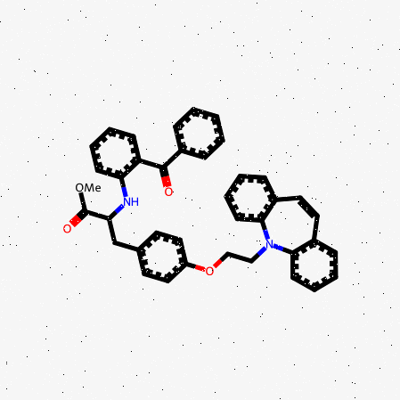 COC(=O)C(Cc1ccc(OCCN2c3ccccc3C=Cc3ccccc32)cc1)Nc1ccccc1C(=O)c1ccccc1